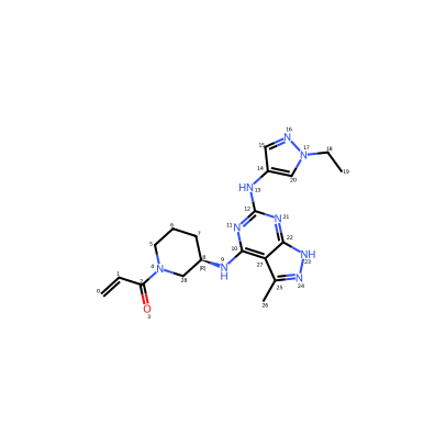 C=CC(=O)N1CCC[C@@H](Nc2nc(Nc3cnn(CC)c3)nc3[nH]nc(C)c23)C1